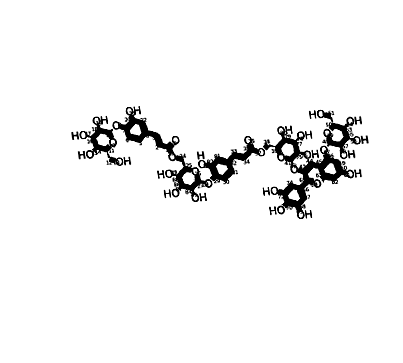 O=C(/C=C/c1ccc(O[C@@H]2O[C@H](CO)[C@@H](O)[C@H](O)[C@H]2O)c(O)c1)OC[C@H]1O[C@@H](Oc2ccc(/C=C/C(=O)OC[C@H]3O[C@@H](Oc4cc5c(O[C@@H]6O[C@H](CO)[C@@H](O)[C@H](O)[C@H]6O)cc(O)cc5[o+]c4-c4cc(O)c(O)c(O)c4)[C@H](O)[C@@H](O)[C@@H]3O)cc2O)[C@H](O)[C@@H](O)[C@@H]1O